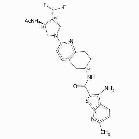 CC(=O)N[C@@H]1CN(c2ccc3c(n2)CC[C@H](NC(=O)c2sc4nc(C)ccc4c2N)C3)C[C@H]1C(F)F